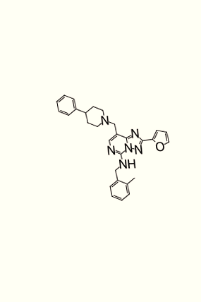 Cc1ccccc1CNc1ncc(CN2CCC(c3ccccc3)CC2)c2nc(-c3ccco3)nn12